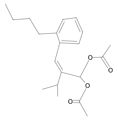 CCCCc1ccccc1C=C(C(C)C)C(OC(C)=O)OC(C)=O